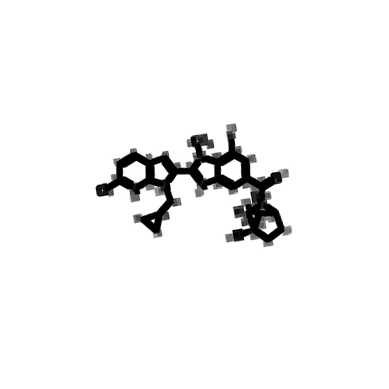 Cn1c(-c2cc3ccc(Cl)nc3n2CC2CC2)nc2cc(C(=O)N3C[C@H]4CCC3[C@@H]4N)cc(F)c21